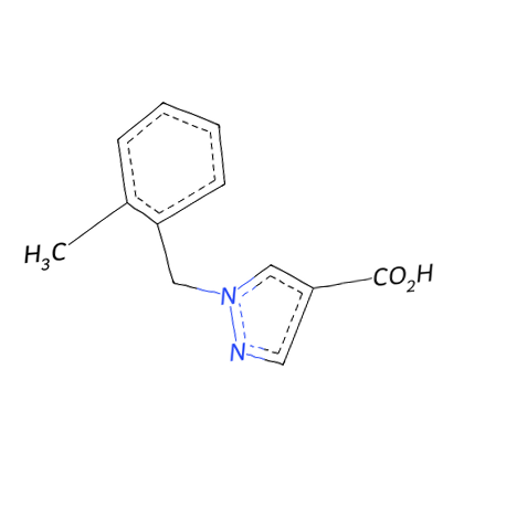 Cc1ccccc1Cn1cc(C(=O)O)cn1